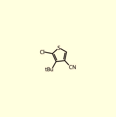 CC(C)(C)c1c(C#N)csc1Cl